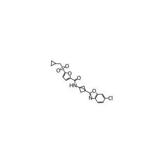 O=C(NC12CC(c3nc4ccc(Cl)cc4o3)(C1)C2)c1ccc(S(=O)(=O)CC2CC2)o1